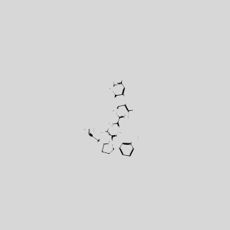 Cc1cc(Oc2cnc(C(=O)N[C@H](C)C(=O)N3[C@H](c4cccc(Cl)c4)CC[C@@H]3C(C)(C)C#N)nc2C)c(=O)[nH]n1